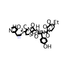 CCN1CCN(C(=O)NC(C(=O)NC2C(=O)N3C(C(=O)O)=C(S/C=C\c4cccnc4)CS[C@@H]23)c2ccc(O)cc2)C(=O)C1=O